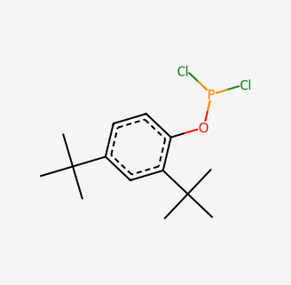 CC(C)(C)c1ccc(OP(Cl)Cl)c(C(C)(C)C)c1